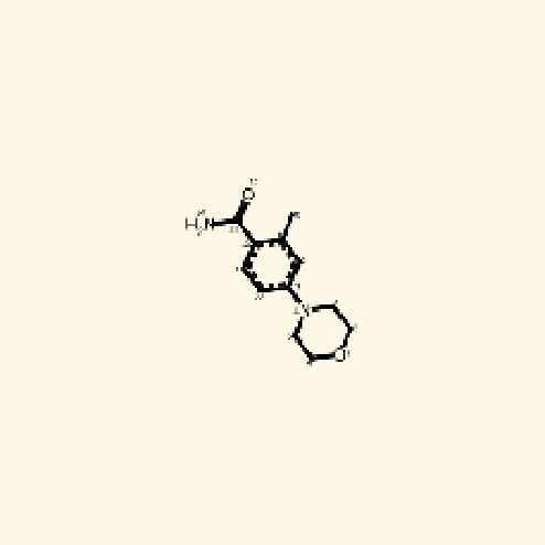 Cc1cc(N2CCOCC2)ccc1C(N)=O